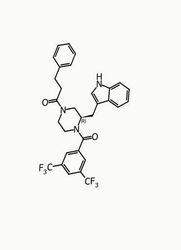 O=C(CCc1ccccc1)N1CCN(C(=O)c2cc(C(F)(F)F)cc(C(F)(F)F)c2)[C@H](Cc2c[nH]c3ccccc23)C1